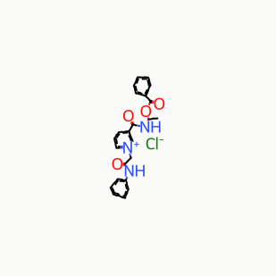 CC(NC(=O)c1ccc[n+](CC(=O)Nc2ccccc2)c1)OC(=O)c1ccccc1.[Cl-]